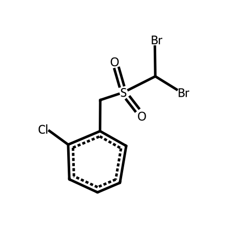 O=S(=O)(Cc1ccccc1Cl)C(Br)Br